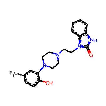 O=c1[nH]c2ccccc2n1CCN1CCN(c2cc(C(F)(F)F)ccc2O)CC1